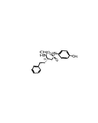 O=CN[C@@H](CCc1ccccc1)CS(=O)(=O)Nc1ccc(O)cc1